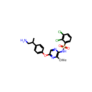 COc1nc(Oc2ccc(C(C)CN)cc2)cnc1NS(=O)(=O)c1cccc(Cl)c1Cl